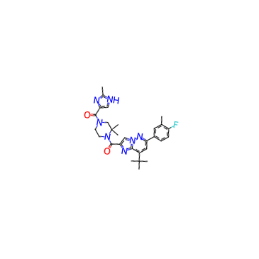 Cc1nc(C(=O)N2CCN(C(=O)c3cn4nc(-c5ccc(F)c(C)c5)cc(C(C)(C)C)c4n3)C(C)(C)C2)c[nH]1